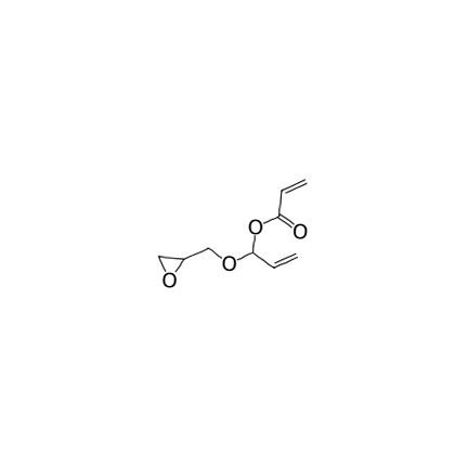 C=CC(=O)OC(C=C)OCC1CO1